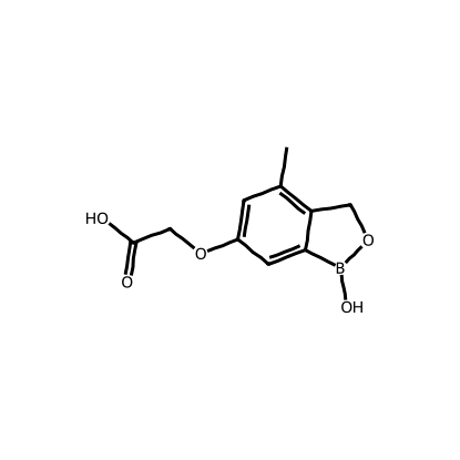 Cc1cc(OCC(=O)O)cc2c1COB2O